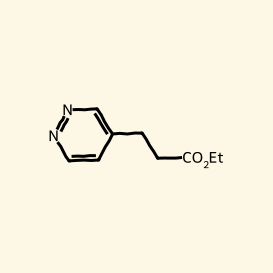 CCOC(=O)CCc1ccnnc1